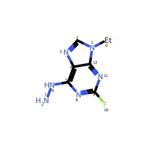 CCn1cnc2c(NN)nc(F)nc21